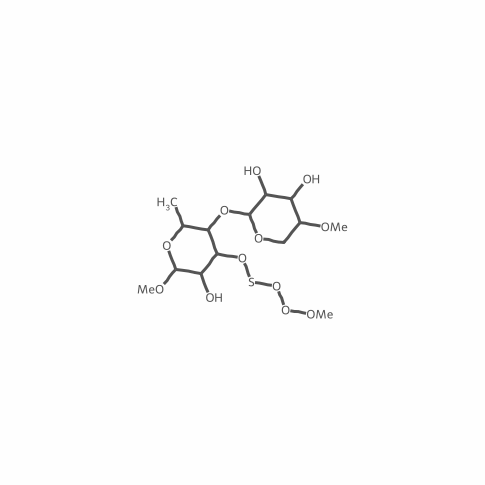 COOOSOC1C(O)C(OC)OC(C)C1OC1OCC(OC)C(O)C1O